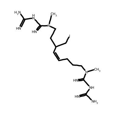 CN(CCC/C=C\C(CI)CCN(C)C(=N)NC(=N)N)C(=N)NC(=N)N